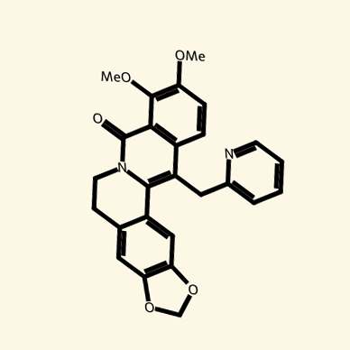 COc1ccc2c(Cc3ccccn3)c3n(c(=O)c2c1OC)CCc1cc2c(cc1-3)OCO2